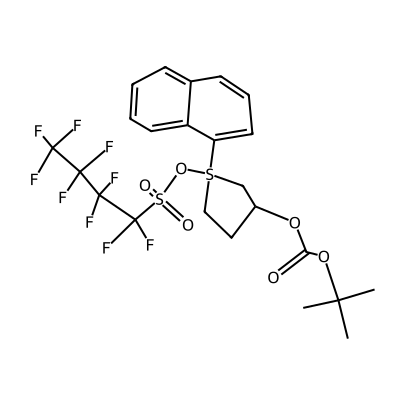 CC(C)(C)OC(=O)OC1CCS(OS(=O)(=O)C(F)(F)C(F)(F)C(F)(F)C(F)(F)F)(c2cccc3ccccc23)C1